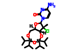 CC(C)[Si]1(C(C)C)OC[C@H]2OC(n3ccc(N)nc3=O)[C@](C)(Cl)[C@@H]2O[Si](C(C)C)(C(C)C)O1